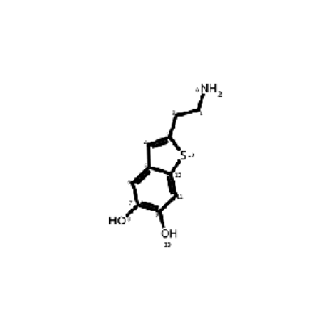 NCCc1cc2cc(O)c(O)cc2s1